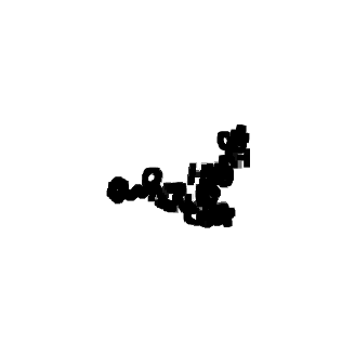 CC(C)(C)OC(=O)NCC(=O)N[C@@H]1C[C@@H](C(=O)N2CCN(C(=O)CCCc3ccccc3)CC2)N(C(=O)OC(C)(C)C)C1